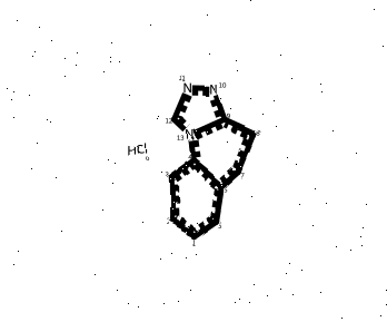 Cl.c1ccc2c(c1)ccc1nncn12